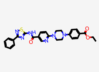 CCOC(=O)c1ccc(N2CCN(c3ccc(C(=O)Nc4nc(-c5ccccc5)ns4)cn3)CC2)cc1